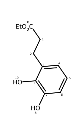 CCOC(=O)CCc1cccc(O)c1O